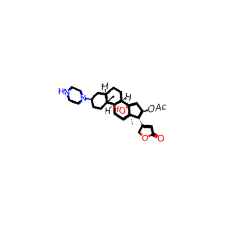 CC(=O)O[C@@H]1C[C@@]2(O)[C@@H]3CC[C@@H]4C[C@H](N5CCNCC5)CC[C@@]4(C)[C@@H]3CC[C@]2(C)[C@H]1C1=CC(=O)OC1